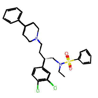 CCN(C[C@@H](CCN1CCC(c2ccccc2)CC1)c1ccc(Cl)c(Cl)c1)S(=O)(=O)c1ccccc1